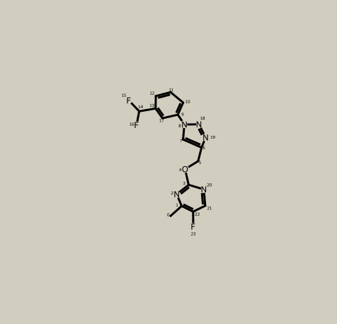 Cc1nc(OCc2cn(-c3cccc(C(F)F)c3)nn2)ncc1F